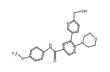 O=C(Nc1ccc(OC(F)(F)F)cc1)c1cnc(N2CCOCC2)c(-c2ccc(CO)nc2)c1